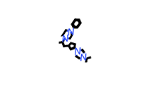 CC(C)N1CCN(C2=CC(CC(C)N3CCN(c4ccccc4)CC3)CC2)CC1